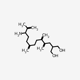 C=C(CCC(=C)C(=C)CC(CO)CO)CCC(N)C(=C)C